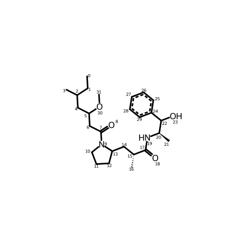 CCC(C)CC(CC(=O)N1CCCC1C[C@@H](C)C(=O)N[C@H](C)C(O)c1ccccc1)OC